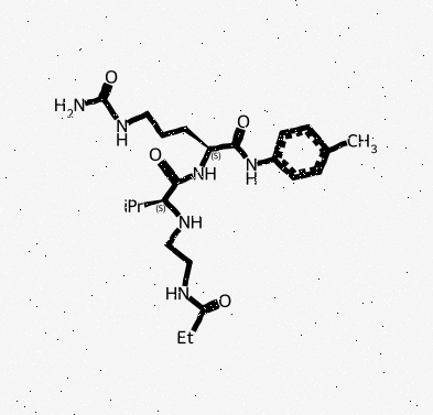 CCC(=O)NCCN[C@H](C(=O)N[C@@H](CCCNC(N)=O)C(=O)Nc1ccc(C)cc1)C(C)C